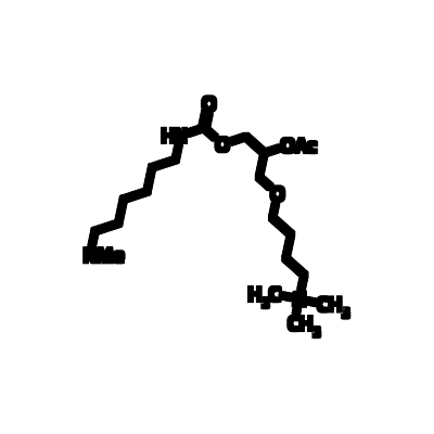 CNCCCCCCNC(=O)OCC(COCCCC[Si](C)(C)C)OC(C)=O